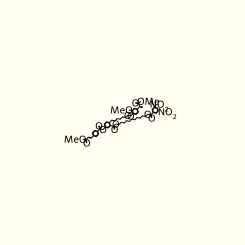 C=C(C(=O)OC)c1ccc(OOCCCCCCc2ccc(OC(=O)c3ccc(C=CC(=O)OC)cc3)cc2C(=O)OCCCCCCCCCCCOC(=O)c2cc([N+](=O)[O-])cc([N+](=O)[O-])c2)c(OC)c1